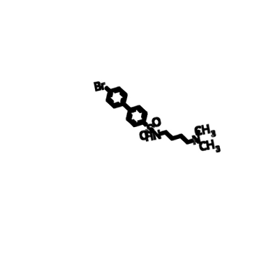 CN(C)CCCCNS(=O)(=O)c1ccc(-c2ccc(Br)cc2)cc1